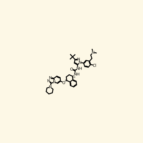 CN(C)CCc1cc(-n2nc(C(C)(C)C)cc2NC(=O)N[C@H]2CC[C@@H](Oc3ccc4nnc(N5CCCCC5)n4c3)c3ccccc32)ccc1Cl